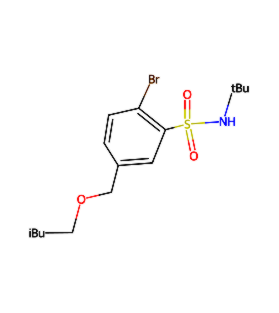 CCC(C)COCc1ccc(Br)c(S(=O)(=O)NC(C)(C)C)c1